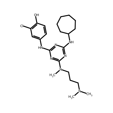 CN(C)CCCN(C)c1nc(Nc2ccc(O)c(Cl)c2)nc(NC2CCCCCC2)n1